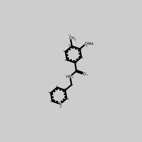 COc1cc(C(=O)NCc2cccnc2)ccc1C